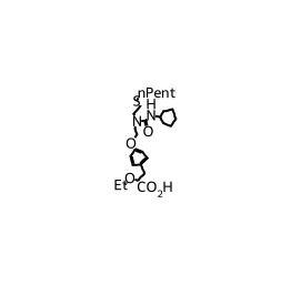 CCCCCSCCN(CCOc1ccc(CC(OCC)C(=O)O)cc1)C(=O)NC1CCCCC1